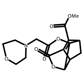 COC(=O)C1=C2C(=O)OC3C2CC1C3OC(=O)CN1CCOCC1